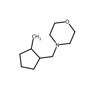 CC1CCCC1CN1CCOCC1